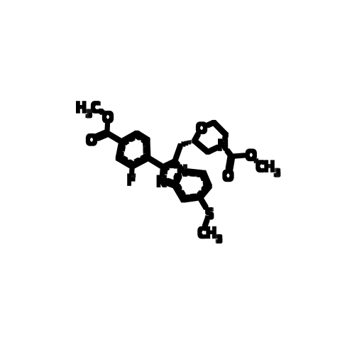 COC(=O)c1ccc(-c2nc3cc(SC)ccn3c2C[C@H]2CN(C(=O)OC)CCO2)c(F)c1